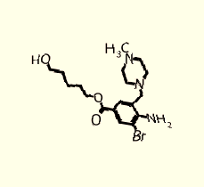 CN1CCN(Cc2cc(C(=O)OCCCCCO)cc(Br)c2N)CC1